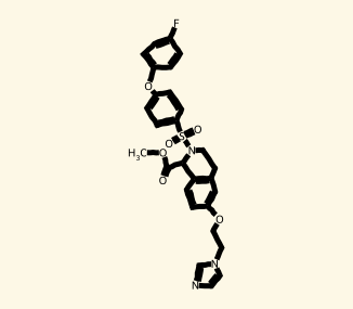 COC(=O)C1c2ccc(OCCn3ccnc3)cc2CCN1S(=O)(=O)c1ccc(Oc2ccc(F)cc2)cc1